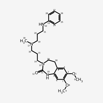 COc1cc2c(cc1OC)NC(=O)N(CCCN(C)CCCNc1ccccc1)CC2